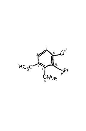 COc1c(C(=O)O)ccc(Cl)c1C(C)C